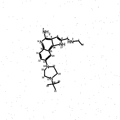 CCNCc1cc2c(N)nc3ccc(N4CCN(C(C)(C)C)CC4)cc3c2[nH]1